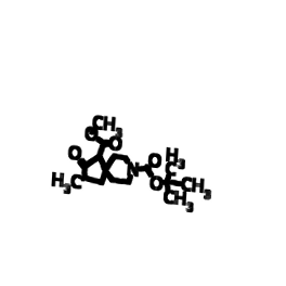 COC(=O)C1C(=O)C(C)CC12CCN(C(=O)OC(C)(C)C)CC2